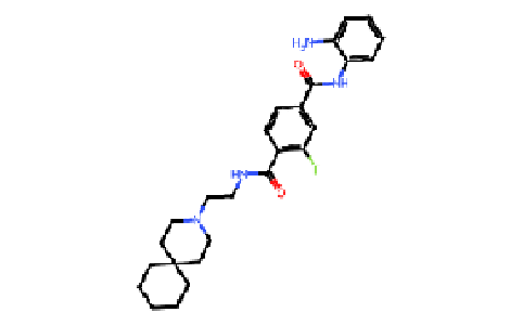 Nc1ccccc1NC(=O)c1ccc(C(=O)NCCN2CCC3(CCCCC3)CC2)c(F)c1